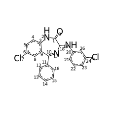 O=C1Nc2ccc(Cl)cc2C(c2ccccc2)=NC1Nc1cccc(Cl)c1